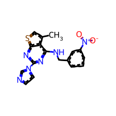 Cc1csc2nc(-n3ccnc3)nc(NCc3cccc([N+](=O)[O-])c3)c12